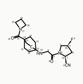 N#C[C@@H]1C[C@H](F)CN1C(=O)CNC12CCC(C(=O)N3CCC3)(CC1)CC2